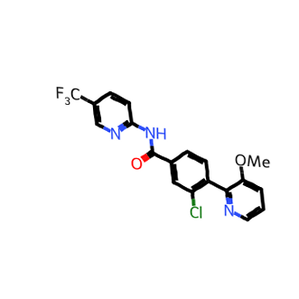 COc1cccnc1-c1ccc(C(=O)Nc2ccc(C(F)(F)F)cn2)cc1Cl